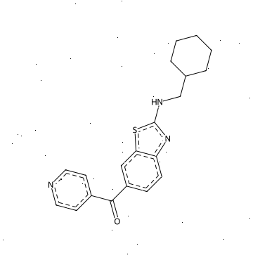 O=C(c1ccncc1)c1ccc2nc(NCC3CCCCC3)sc2c1